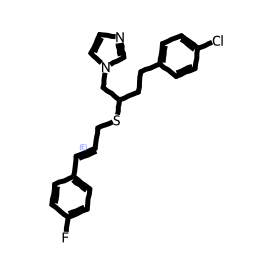 Fc1ccc(/C=C/CSC(CCc2ccc(Cl)cc2)Cn2ccnc2)cc1